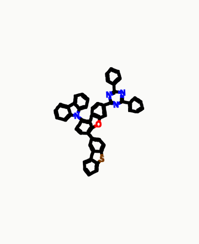 c1ccc(-c2nc(-c3ccccc3)nc(-c3ccc4c(c3)oc3c(-c5ccc6sc7ccccc7c6c5)ccc(-n5c6ccccc6c6ccccc65)c34)n2)cc1